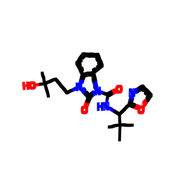 CC(C)(O)CCn1c(=O)n(C(=O)NC(c2ncco2)C(C)(C)C)c2ccccc21